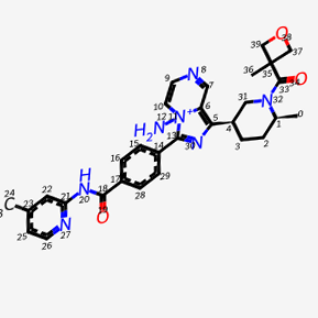 C[C@H]1CC[C@@H](C2=C3C=NC=C[N+]3(N)C(c3ccc(C(=O)Nc4cc(C(F)(F)F)ccn4)cc3)=N2)CN1C(=O)C1(C)COC1